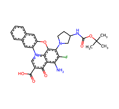 CC(C)(C)OC(=O)NC1CCN(c2c(F)c(N)c3c(=O)c(C(=O)O)cn4c3c2Oc2cc3ccccc3cc2-4)C1